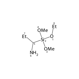 CCO[Si](OC)(OC)C(N)CC